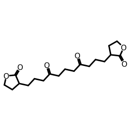 O=C(CCCC(=O)CCCC1CCOC1=O)CCCC1CCOC1=O